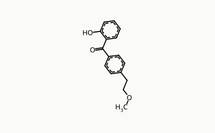 COCCc1ccc(C(=O)c2ccccc2O)cc1